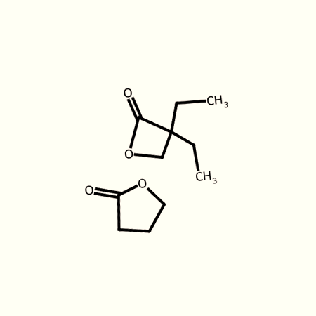 CCC1(CC)COC1=O.O=C1CCCO1